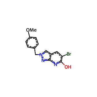 COc1ccc(Cn2cc3cc(Br)c(O)nc3n2)cc1